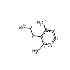 Cc1ccnc(C)c1CCBr